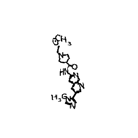 COCCN1CCC(C(=O)Nc2cc3cc(-c4cncn4C)cnc3cn2)CC1